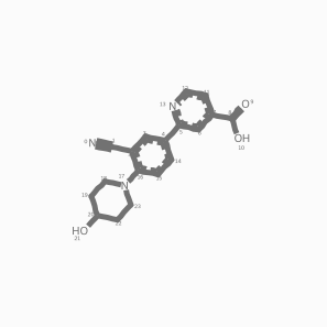 N#Cc1cc(-c2cc(C(=O)O)ccn2)ccc1N1CCC(O)CC1